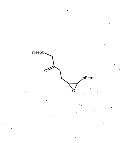 CCCCCCCCC(=O)CCC1OC1CCCCC